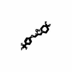 O[C@@H](COc1ccc(C(F)(F)F)cc1)CN1CCC(F)(F)CC1